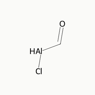 O=[CH][AlH][Cl]